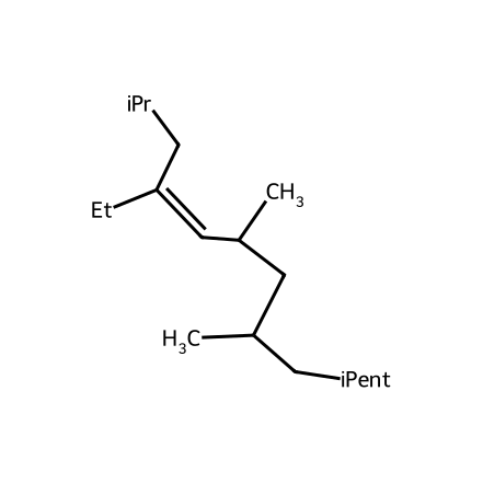 CCCC(C)CC(C)CC(C)C=C(CC)CC(C)C